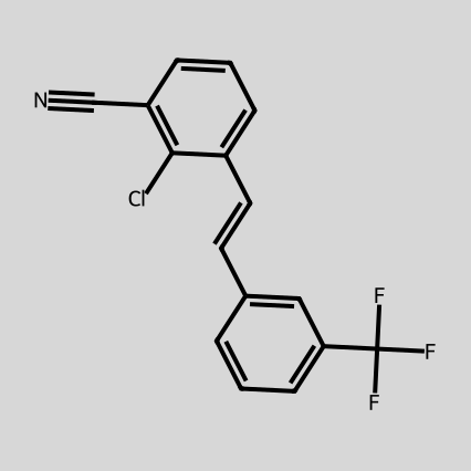 N#Cc1cccc(/C=C/c2cccc(C(F)(F)F)c2)c1Cl